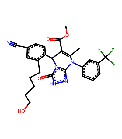 COC(=O)C1=C(C)N(c2cccc(C(F)(F)F)c2)c2n[nH]c(=O)n2C1c1ccc(C#N)cc1CCCCCO